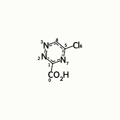 O=C(O)c1nncc(Cl)n1